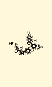 CC(C)Oc1cc(Oc2ccc(-c3noc(C(=O)NCCO)n3)nc2)cc(C(=O)Nc2ccn(C)n2)c1